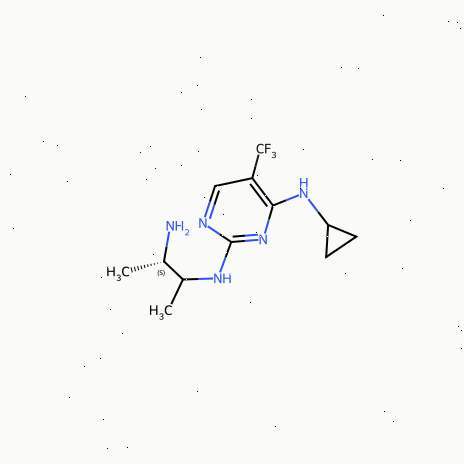 CC(Nc1ncc(C(F)(F)F)c(NC2CC2)n1)[C@H](C)N